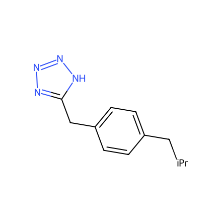 CC(C)Cc1ccc(Cc2nnn[nH]2)cc1